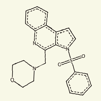 O=S(=O)(c1ccccc1)n1ccc2c3ccccc3nc(CN3CCOCC3)c21